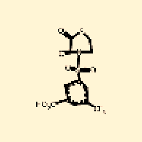 O=C1SCCN(S(=O)(=O)c2cc(C(=O)O)cc(C(F)(F)F)c2)C1=O